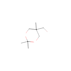 CC1(CBr)COC(C)(C)OC1